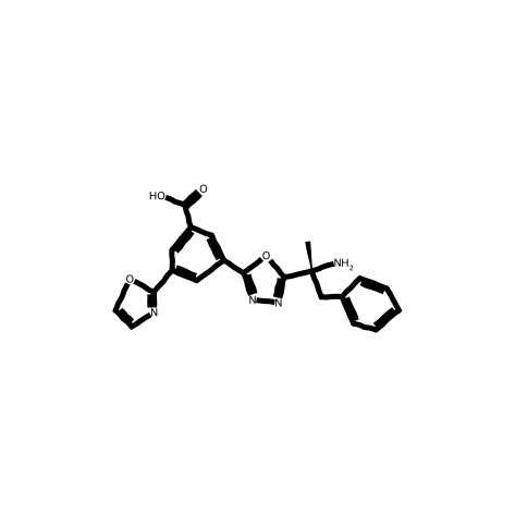 C[C@@](N)(Cc1ccccc1)c1nnc(-c2cc(C(=O)O)cc(-c3ncco3)c2)o1